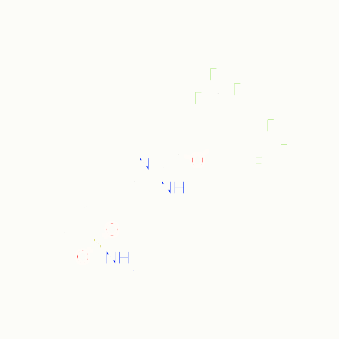 NS(=O)(=O)c1ccccc1-c1ccc2[nH]c(COc3cc(C(F)(F)F)cc(C(F)(F)F)c3)nc2c1